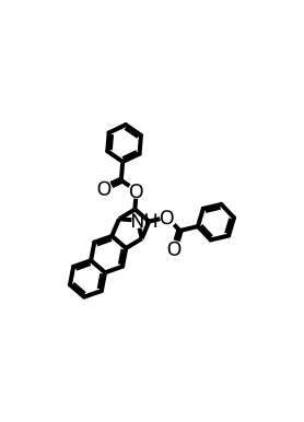 O=C(OC1C2NC(c3cc4ccccc4cc32)C1OC(=O)c1ccccc1)c1ccccc1